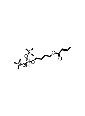 CC=CC(=O)OCCCCO[SiH](O[Si](C)(C)C)O[Si](C)(C)C